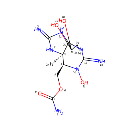 N=C1N[C@@H]2[C@H](COC(N)=O)N(O)C(=N)N3CCC(O)(O)C23N1